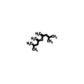 C=C(CC(C)C)OC(=C)CC(C)C